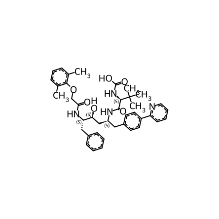 Cc1cccc(C)c1OCC(=O)N[C@@H](Cc1ccccc1)[C@@H](O)C[C@H](Cc1ccc(-c2ccccn2)cc1)NC(=O)[C@@H](NC(=O)O)C(C)(C)C